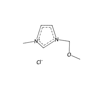 COCn1cc[n+](C)c1.[Cl-]